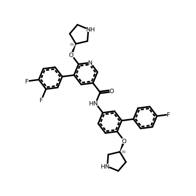 O=C(Nc1ccc(O[C@H]2CCNC2)c(-c2ccc(F)cc2)c1)c1cnc(O[C@H]2CCNC2)c(-c2ccc(F)c(F)c2)c1